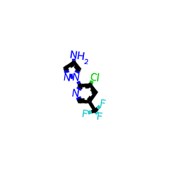 Nc1cnn(-c2ncc(C(F)(F)F)cc2Cl)c1